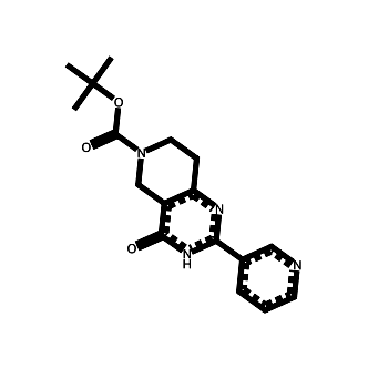 CC(C)(C)OC(=O)N1CCc2nc(-c3cccnc3)[nH]c(=O)c2C1